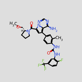 COC[C@H]1CCCN1C(=O)c1cc(-c2ccc(NC(=O)Nc3cc(C(F)(F)F)ccc3F)c(C)c2)c2c(N)ncnn12